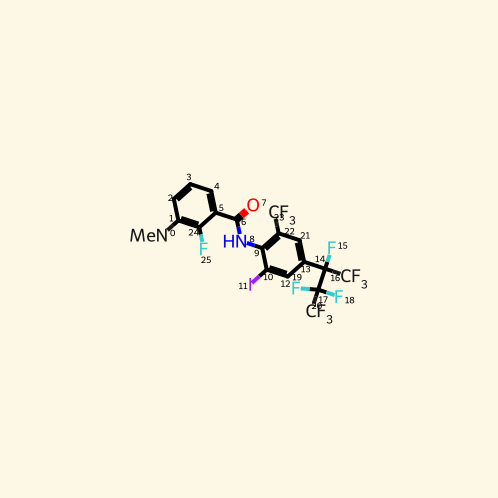 CNc1cccc(C(=O)Nc2c(I)cc(C(F)(C(F)(F)F)C(F)(F)C(F)(F)F)cc2C(F)(F)F)c1F